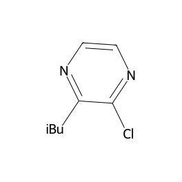 C[CH]C(C)c1nccnc1Cl